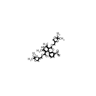 CC1=C(C(=O)OCC2COC(C)(C)O2)C(c2cccc([N+](=O)[O-])c2)C(C(=O)OCC2COC(C)(C)O2)=C(C)N1